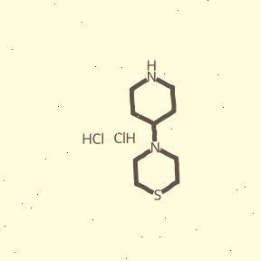 C1CC(N2CCSCC2)CCN1.Cl.Cl